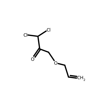 C=CCOCC(=O)C(Cl)Cl